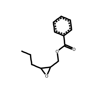 CCCC1OC1COC(=O)c1ccccc1